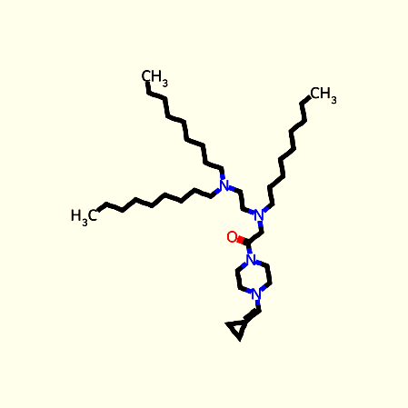 CCCCCCCCCN(CCCCCCCCC)CCN(CCCCCCCCC)CC(=O)N1CCN(C=C2CC2)CC1